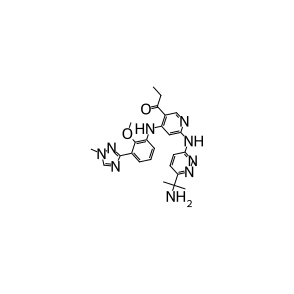 CCC(=O)c1cnc(Nc2ccc(C(C)(C)N)nn2)cc1Nc1cccc(-c2ncn(C)n2)c1OC